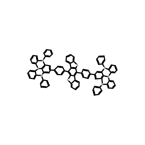 c1ccc(N2c3ccccc3B3c4ccccc4N(c4ccccc4)c4cc(-c5ccc(-c6c7sc8ccccc8c7c(-c7ccc(-c8cc9c%10c(c8)N(c8ccccc8)c8ccccc8B%10c8ccccc8N9c8ccccc8)cc7)c7sc8ccccc8c67)cc5)cc2c43)cc1